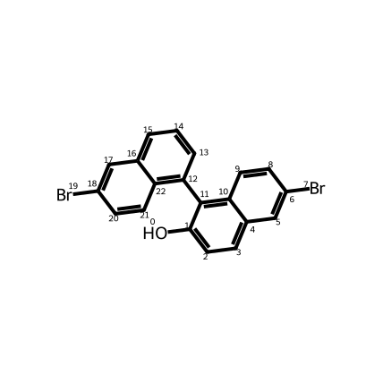 Oc1ccc2cc(Br)ccc2c1-c1cccc2cc(Br)ccc12